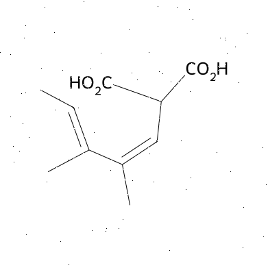 CC=C(C)C(C)=CC(C(=O)O)C(=O)O